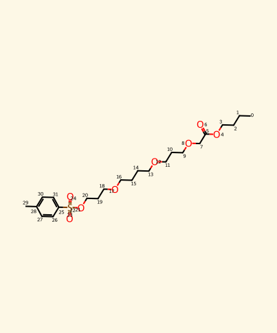 CCCCOC(=O)COCCCOCCCCOCCCOS(=O)(=O)c1ccc(C)cc1